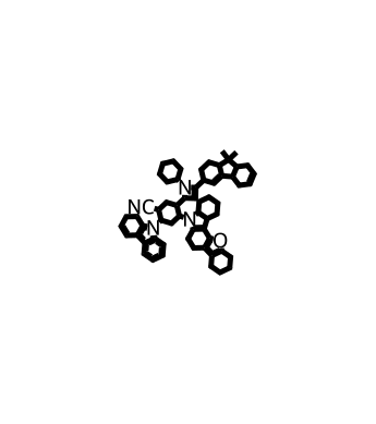 CC1(C)C2CCC(C3=CC(C4CC(C#N)C(n5c6c(c7ccccc75)C=CCC6)CC4N4C5=C(c6oc7c(c6CC5)CCCC7)C5CCCCC54)N3C3CCCCC3)C=C2C2CC=CCC21